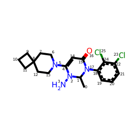 CC1N(N)C(N2CCC3(CCC3)CC2)=CC(=O)N1c1cccc(Cl)c1Cl